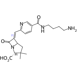 CC1(C)CC2/C(=C\c3ccc(C(=O)NCCCCN)cn3)C(=O)N2[C@H]1C(=O)O